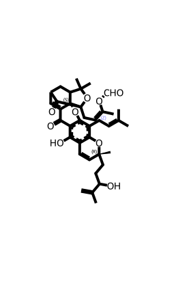 C=C(C)C(O)CC[C@]1(C)C=Cc2c(O)c3c(c(CC=C(C)C)c2O1)O[C@]12C(=CC4CC1C(C)(C)OC2(C/C=C(/C)OC=O)C4=O)C3=O